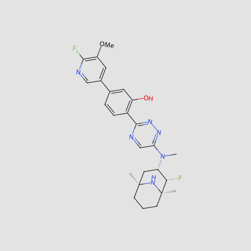 COc1cc(-c2ccc(-c3ncc(N(C)[C@H]4C[C@]5(C)CCC[C@@](C)(N5)[C@H]4F)nn3)c(O)c2)cnc1F